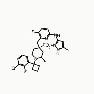 Cc1cc(Nc2ccc(F)c(C[C@@]3(C(=O)O)CCN(C4(c5cccc(Cl)c5F)CCC4)[C@H](C)C3)n2)n[nH]1